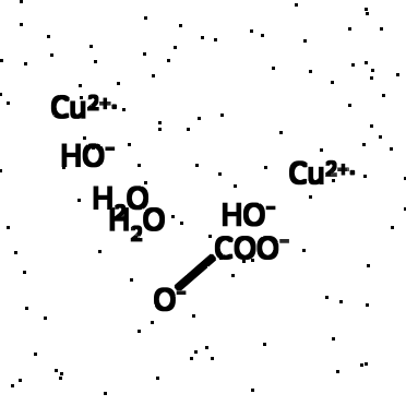 O.O.O=C([O-])[O-].[Cu+2].[Cu+2].[OH-].[OH-]